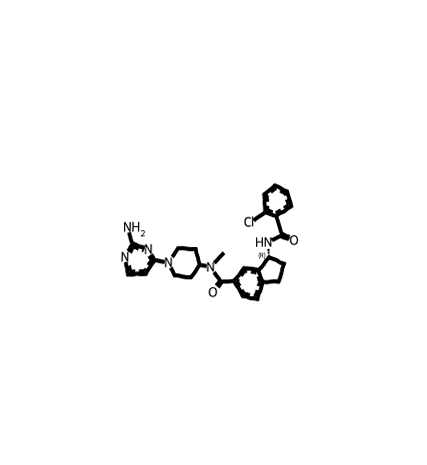 CN(C(=O)c1ccc2c(c1)[C@H](NC(=O)c1ccccc1Cl)CC2)C1CCN(c2ccnc(N)n2)CC1